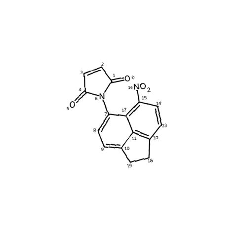 O=C1C=CC(=O)N1c1ccc2c3c(ccc([N+](=O)[O-])c13)CC2